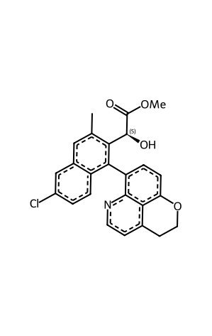 COC(=O)[C@@H](O)c1c(C)cc2cc(Cl)ccc2c1-c1ccc2c3c(ccnc13)CCO2